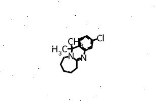 CC1(C)c2ccc(Cl)cc2N=C2CCCCCN21